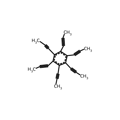 CC#Cc1c(C#CC)c(C#CC)c(C#CC)c(C#CC)c1C#CC